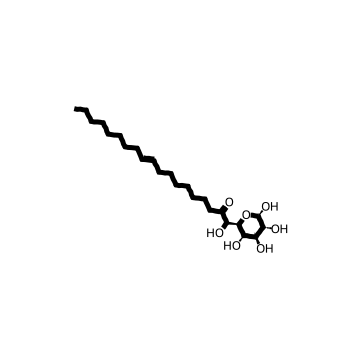 CCCCCCCCC=CCCCCCCCC(=O)C(O)[C@H]1O[C@H](O)[C@H](O)[C@@H](O)[C@@H]1O